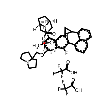 CC(C)(C)OC(=O)N1[C@@H]2CC[C@H]1CN(c1nc(OCC34CCCN3CCC4)nc3c(F)c(-c4cccc5cccc(C6CC6)c45)ncc13)C2.O=C(O)C(F)(F)F.O=C(O)C(F)(F)F